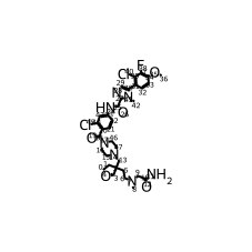 CCC(C=O)(CCN(C)CC(N)=O)CN1CCN(C(=O)c2ccc(NC(=O)c3ncc(-c4ccc(OC)c(F)c4Cl)n3C)cc2Cl)CC1